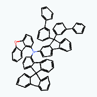 c1ccc(-c2cccc(C3(c4cccc(-c5ccccc5)c4)c4ccccc4-c4ccc(N(c5cccc6c5-c5ccccc5C65c6ccccc6-c6ccccc65)c5cccc6oc7ccccc7c56)cc43)c2)cc1